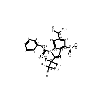 O=C(Oc1ccccc1)n1c(C(F)(F)C(F)(F)F)nc2c([N+](=O)[O-])cc(C(F)F)cc21